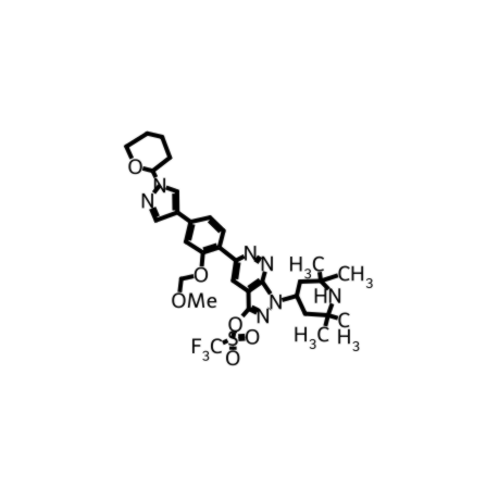 COCOc1cc(-c2cnn(C3CCCCO3)c2)ccc1-c1cc2c(OS(=O)(=O)C(F)(F)F)nn(C3CC(C)(C)NC(C)(C)C3)c2nn1